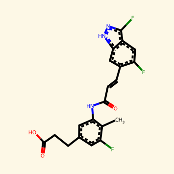 Cc1c(F)cc(CCC(=O)O)cc1NC(=O)C=Cc1cc2[nH]nc(F)c2cc1F